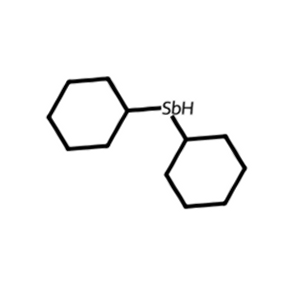 C1CC[CH]([SbH][CH]2CCCCC2)CC1